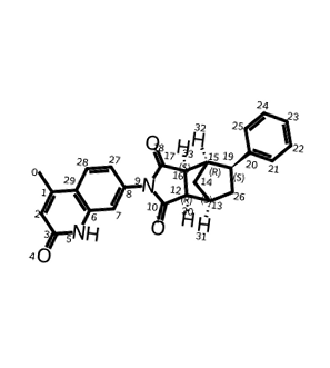 Cc1cc(=O)[nH]c2cc(N3C(=O)[C@@H]4[C@H]5C[C@@H]([C@@H]4C3=O)[C@@H](c3ccccc3)C5)ccc12